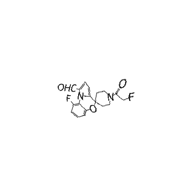 O=Cc1ccc2n1-c1c(F)cccc1OC21CCN(C(=O)CF)CC1